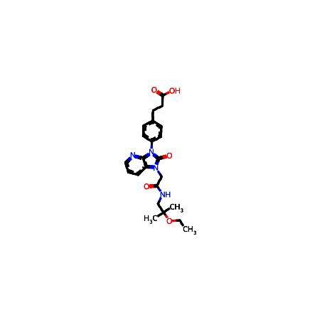 CCOC(C)(C)CNC(=O)Cn1c(=O)n(-c2ccc(CCC(=O)O)cc2)c2ncccc21